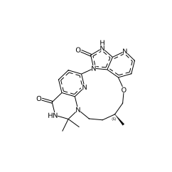 C[C@H]1CCN2c3nc(ccc3C(=O)NC2(C)C)-n2c(=O)[nH]c3nccc(c32)OC1